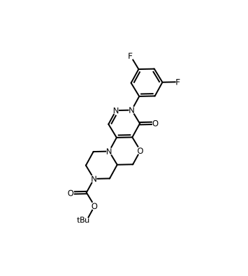 CC(C)(C)OC(=O)N1CCN2c3cnn(-c4cc(F)cc(F)c4)c(=O)c3OCC2C1